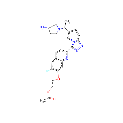 CC(=O)OCCOc1cc2nc(-c3nnc4ccc([C@H](C)N5CC[C@H](N)C5)cn34)ccc2cc1F